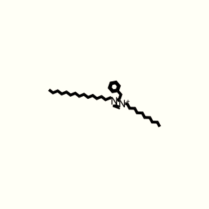 CCCCCCCCCCCCCCCn1cc[n+](CCCCCCCCCC)c1Cc1ccccc1